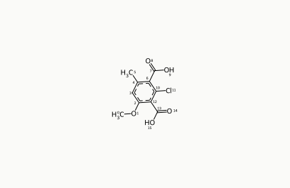 COc1cc(C)c(C(=O)O)c(Cl)c1C(=O)O